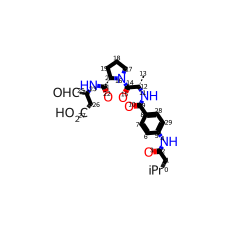 CC(C)CC(=O)Nc1ccc(C(=O)N[C@@H](C)C(=O)N2CCC[C@H]2C(=O)N[C@H](C=O)CC(=O)O)cc1